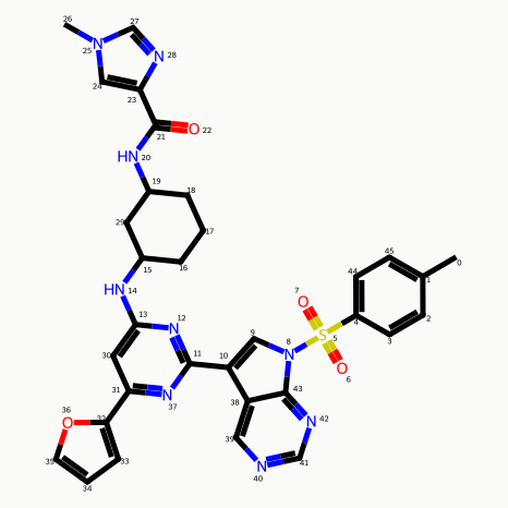 Cc1ccc(S(=O)(=O)n2cc(-c3nc(NC4CCCC(NC(=O)c5cn(C)cn5)C4)cc(-c4ccco4)n3)c3cncnc32)cc1